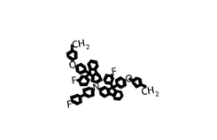 C=Cc1ccc(Oc2ccc(C3(c4cccc(F)c4)C4=C(C=CCC4)c4ccc(N(c5ccc(-c6ccc(F)cc6)cc5)c5ccc6c(c5)C(c5ccc(Oc7ccc(C=C)cc7)cc5)(c5cccc(F)c5)c5ccccc5-6)cc43)cc2)cc1